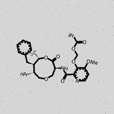 CCC[C@H]1COC[C@H](NC(=O)c2nccc(OC)c2OCOC(=O)C(C)C)C(=O)O[C@@H](C)[C@@H]1Cc1ccccc1